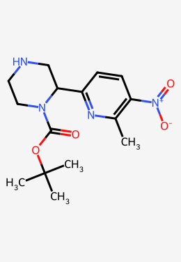 Cc1nc(C2CNCCN2C(=O)OC(C)(C)C)ccc1[N+](=O)[O-]